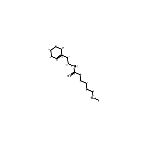 CNCCCCCC(=O)NCCC1=CCCCC1